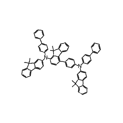 CC1(C)c2ccccc2-c2ccc(N(c3ccc(-c4ccccc4)cc3)c3ccc(-c4ccc(N(c5ccc(-c6ccccc6)cc5)c5ccc6c(c5)C(C)(C)c5ccccc5-6)c5c4-c4ccccc4C5(C)C)cc3)cc21